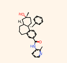 Cc1ncccc1NC(=O)c1ccc2c(c1)CCC[C@H]1C[C@](C)(O)CC[C@@]21Cc1ccccc1